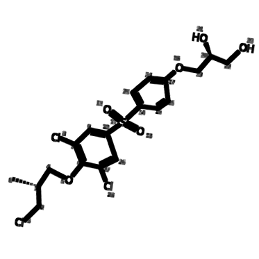 C[C@@H](CCl)COc1c(Cl)cc(S(=O)(=O)c2ccc(OC[C@@H](O)CO)cc2)cc1Cl